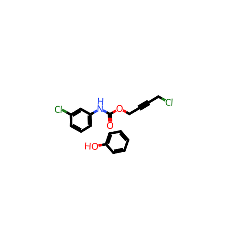 O=C(Nc1cccc(Cl)c1)OCC#CCCl.Oc1ccccc1